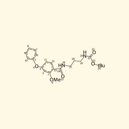 COc1cc(Oc2ccccc2)ccc1C(=O)NCCCNC(=O)OC(C)(C)C